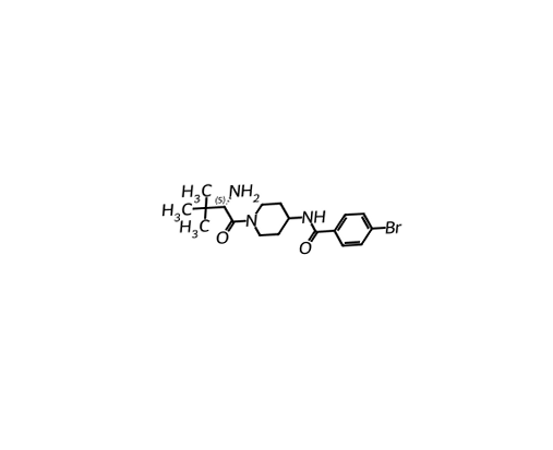 CC(C)(C)[C@H](N)C(=O)N1CCC(NC(=O)c2ccc(Br)cc2)CC1